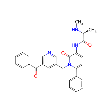 CN[C@@H](C)C(=O)Nc1ccc(-c2ccccc2)n(Cc2cncc(C(=O)c3ccccc3)c2)c1=O